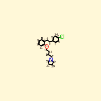 Clc1ccc(CCc2ccccc2OCCCCN2CCCC2)cc1